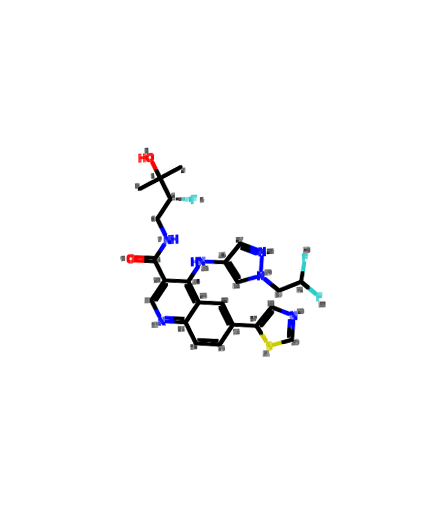 CC(C)(O)[C@H](F)CNC(=O)c1cnc2ccc(-c3cncs3)cc2c1Nc1cnn(CC(F)F)c1